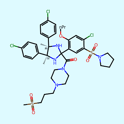 CCCOc1cc(Cl)c(S(=O)(=O)N2CCCC2)cc1C1(C(=O)N2CCN(CCCS(C)(=O)=O)CC2)N[C@@](C)(c2ccc(Cl)cc2)[C@@](C)(c2ccc(Cl)cc2)N1